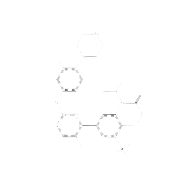 CC(C)N1C(=O)COc2c1cc(-c1nc(Nc3ccc(N4CCNCC4)c(F)c3)ncc1F)cc2C(F)(F)F